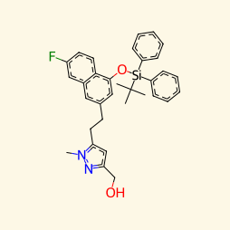 Cn1nc(CO)cc1CCc1cc(O[Si](c2ccccc2)(c2ccccc2)C(C)(C)C)c2ccc(F)cc2c1